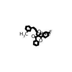 COC(=O)C1(CC=C=Cc2cccc(C)c2)C(=O)c2ccccc2OC1c1ccc(F)cc1